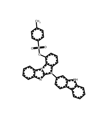 Cc1ccc(S(=O)(=O)Oc2cccc3c2n2c4ccccc4nc2n3-c2ccc3c(c2)[nH]c2ccccc23)cc1